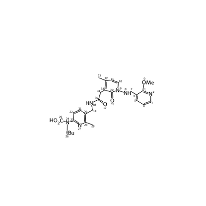 COc1ncccc1CNn1ccc(C)c(CC(=O)NCc2ccc(N(C(=O)O)C(C)(C)C)nc2C)c1=O